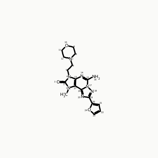 Cn1c(=O)n(CCN2CCOCC2)c2nc(N)n3nc(-c4ccco4)nc3c21